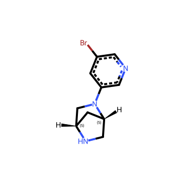 Brc1cncc(N2C[C@@H]3C[C@H]2CN3)c1